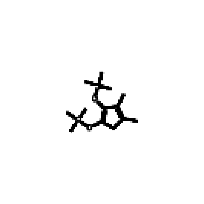 CC1=C(C)C(O[Si](C)(C)C)=C(O[Si](C)(C)C)C1